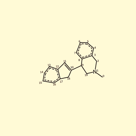 CN1Cc2ccccc2C(C2=Cc3ccccc3C2)C1